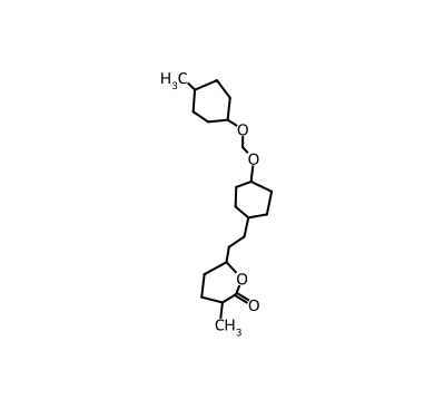 CC1CCC(OCOC2CCC(CCC3CCC(C)C(=O)O3)CC2)CC1